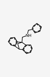 c1ccc(CNCC23CC(c4ccccc42)c2ccccc23)cc1